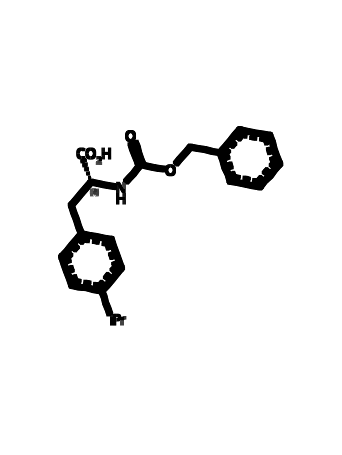 CC(C)c1ccc(C[C@@H](NC(=O)OCc2ccccc2)C(=O)O)cc1